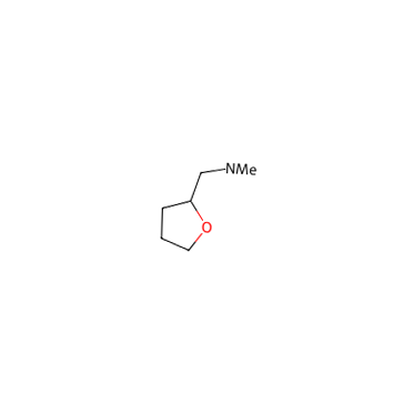 [CH2]NCC1CCCO1